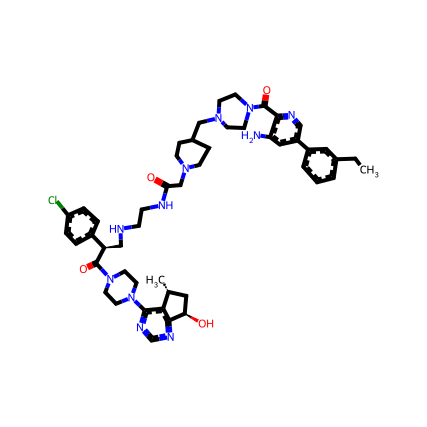 CCc1cccc(-c2cnc(C(=O)N3CCN(CC4CCN(CC(=O)NCCNC[C@@H](C(=O)N5CCN(c6ncnc7c6[C@H](C)C[C@H]7O)CC5)c5ccc(Cl)cc5)CC4)CC3)c(N)c2)c1